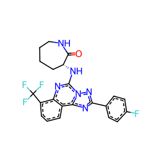 O=C1NCCCC[C@H]1Nc1nc2c(C(F)(F)F)cccc2c2nc(-c3ccc(F)cc3)nn12